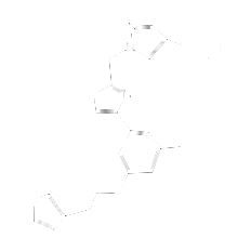 O=C(O)c1cnn(Cc2nc(-c3cc(OCCc4ccsc4)cc(C(F)(F)F)c3)cs2)c1